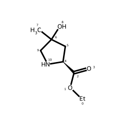 CCOC(=O)[C@@H]1CC(C)(O)CN1